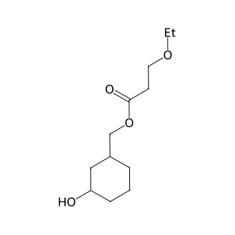 CCOCCC(=O)OCC1CCCC(O)C1